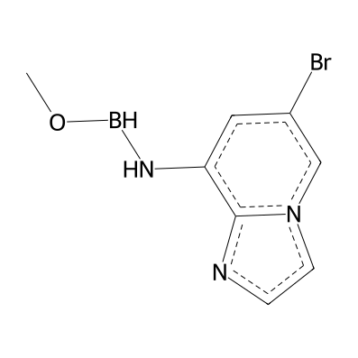 COBNc1cc(Br)cn2ccnc12